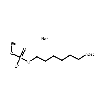 CCCCCCCCCCCCCCCCOP(=O)([O-])OC(C)CC.[Na+]